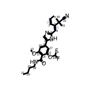 C/C=C\C(=C/c1ncc(-c2cc(OC)c(C(=O)NCCCC)c(OC(F)F)c2)[nH]1)C(C)(C)C#N